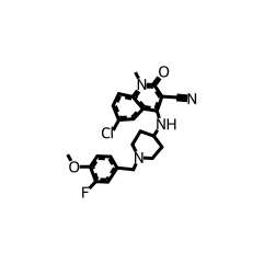 COc1ccc(CN2CCC(Nc3c(C#N)c(=O)n(C)c4ccc(Cl)cc34)CC2)cc1F